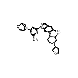 Cc1nc(N2CC3CC2CO3)cc(-n2ncc3cc(C)c(C4CCN(C5CCOC5)CC4F)cc32)n1